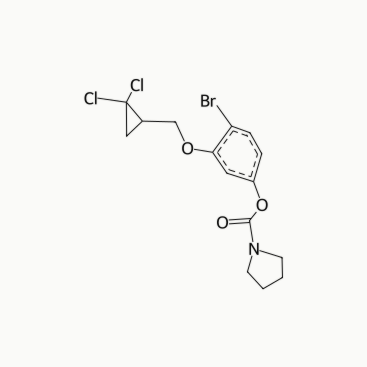 O=C(Oc1ccc(Br)c(OCC2CC2(Cl)Cl)c1)N1CCCC1